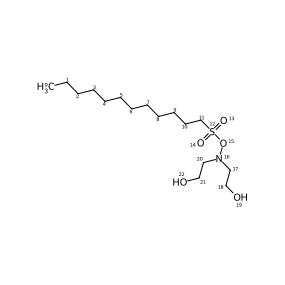 CCCCCCCCCCCCS(=O)(=O)ON(CCO)CCO